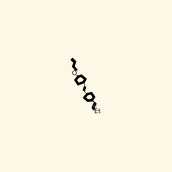 C=CCCO[C@H]1CC[C@H](CC[C@H]2CC[C@H](/C=C/CC)CC2)CC1